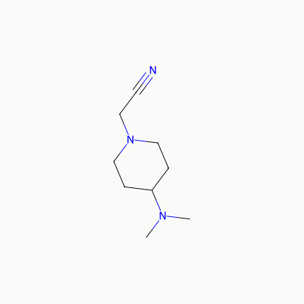 CN(C)C1CCN(CC#N)CC1